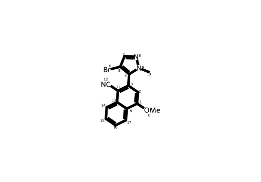 COc1cc(-c2c(Br)cnn2C)c(C#N)c2ccccc12